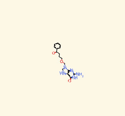 Nc1nc2c(c(=O)[nH]1)NCN2COCCCC(=O)c1ccccc1